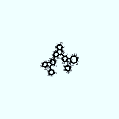 C1=C\CCc2c(c3cc(-c4nc5ccccc5c5ccc(-c6ccc7c(c6)c6ccccc6n7-c6ccccc6)cc45)ccc3n2-c2ccccc2)\C=C/1